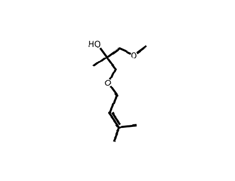 COCC(C)(O)COCC=C(C)C